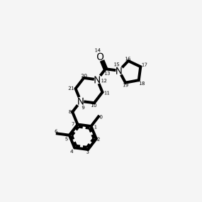 Cc1cccc(C)c1CN1CCN(C(=O)N2CCCC2)CC1